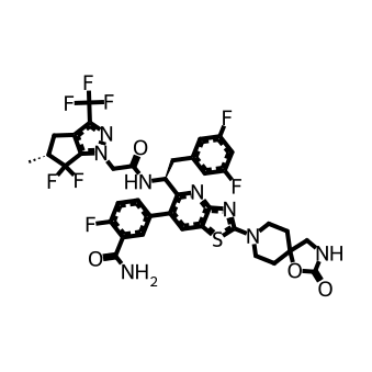 C[C@@H]1Cc2c(C(F)(F)F)nn(CC(=O)N[C@@H](Cc3cc(F)cc(F)c3)c3nc4nc(N5CCC6(CC5)CNC(=O)O6)sc4cc3-c3ccc(F)c(C(N)=O)c3)c2C1(F)F